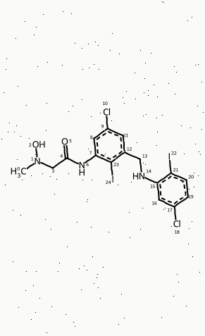 CN(O)CC(=O)Nc1cc(Cl)cc(CNc2cc(Cl)ccc2I)c1I